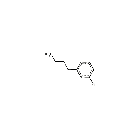 O=C(O)CCCc1cccc(Cl)n1